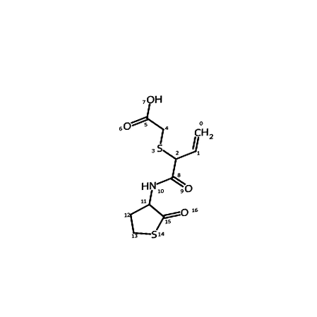 C=CC(SCC(=O)O)C(=O)NC1CCSC1=O